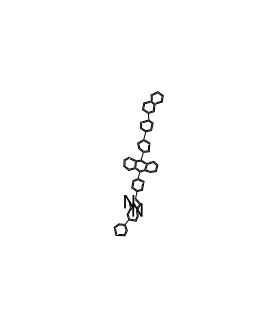 c1ccc(-c2ccn3cc(-c4ccc(-c5c6ccccc6c(-c6ccc(-c7ccc(-c8ccc9ccccc9c8)cc7)cc6)c6ccccc56)cc4)nc3c2)cc1